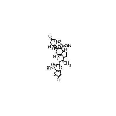 CC(C)C(NC(=O)C[C@@H](C)C1CC[C@H]2[C@@H]3[C@@H](O)C[C@@H]4CC(=O)CC[C@]4(C)[C@H]3CC[C@]12C)c1ccc(Cl)s1